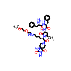 COCCOCCNCCCC[C@H](C(=O)N1CCC2(CC1)NC(=O)NC2=O)N1C(=O)[C@H](NC(=O)[C@@H](Cc2ccccc2)NC(=O)[C@H](N)Cc2ccccc2)CC1C